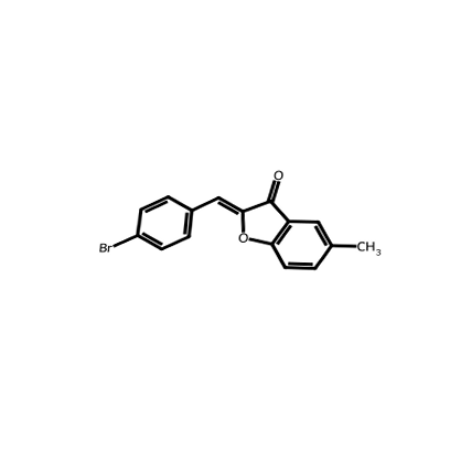 Cc1ccc2c(c1)C(=O)/C(=C/c1ccc(Br)cc1)O2